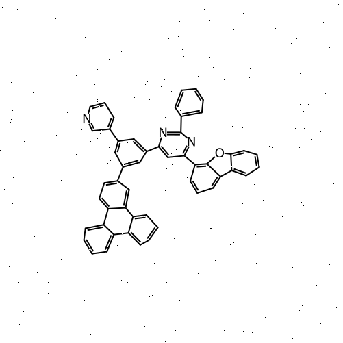 c1ccc(-c2nc(-c3cc(-c4cccnc4)cc(-c4ccc5c6ccccc6c6ccccc6c5c4)c3)cc(-c3cccc4c3oc3ccccc34)n2)cc1